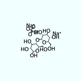 O=S(=O)([O-])[O-].OC[C@H]1O[C@@H](O[C@H]2[C@H](O)[C@@H](O)[C@H](O)O[C@@H]2CO)[C@H](O)[C@@H](O)[C@@H]1O.[Na+].[Na+]